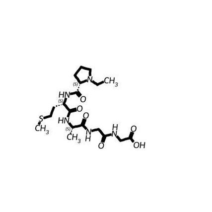 CCN1CCC[C@H]1C(=O)N[C@@H](CCSC)C(=O)N[C@@H](C)C(=O)NCC(=O)NCC(=O)O